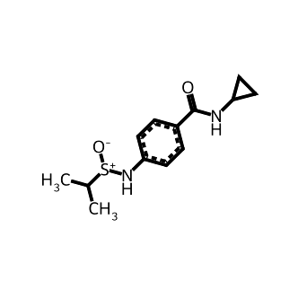 CC(C)[S+]([O-])Nc1ccc(C(=O)NC2CC2)cc1